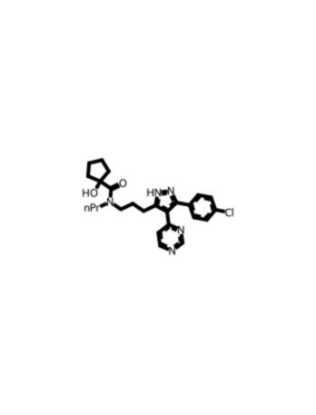 CCCN(CCCc1[nH]nc(-c2ccc(Cl)cc2)c1-c1ccncn1)C(=O)C1(O)CCCC1